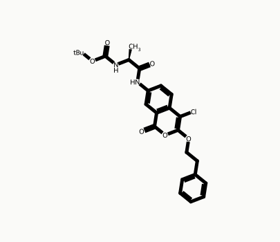 C[C@H](NC(=O)OC(C)(C)C)C(=O)Nc1ccc2c(Cl)c(OCCc3ccccc3)oc(=O)c2c1